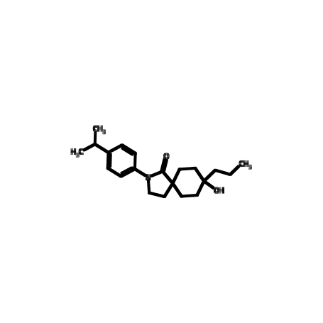 CCCC1(O)CCC2(CCN(c3ccc(C(C)C)cc3)C2=O)CC1